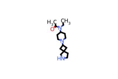 CCN(C(C)=O)C1CCN(C2CC3(CCNC3)C2)CC1